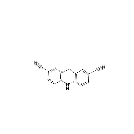 N#Cc1ccc2c(c1)Cc1cc(C#N)ccc1N2